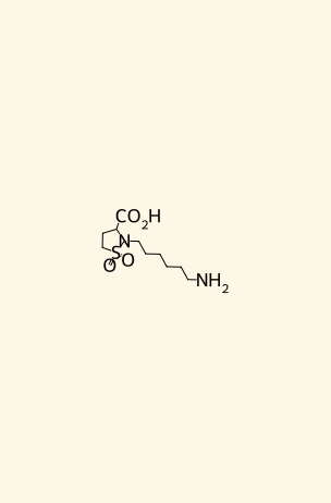 NCCCCCCN1C(C(=O)O)CCS1(=O)=O